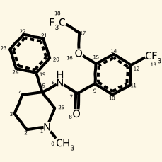 CN1CCCC(NC(=O)c2ccc(C(F)(F)F)cc2OCC(F)(F)F)(c2ccccc2)C1